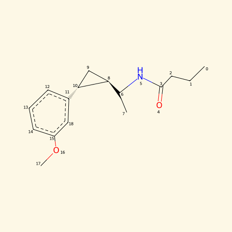 CCCC(=O)NC(C)[C@@H]1C[C@H]1c1cccc(OC)c1